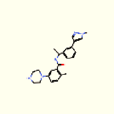 Cc1ccc(N2CCNCC2)cc1C(=O)NC(C)c1cccc(-c2cnn(C)c2)c1